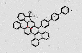 CC1(C)c2ccccc2-c2ccc(N(c3ccc(-c4ccc(-c5ccccc5)cc4)cc3)c3c(-c4ccc(-c5ccccc5)cc4)c4ccccc4c4ccccc34)cc21